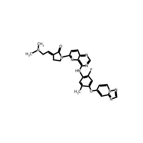 Cc1cc(Nc2ncnc3ccc(N4CC/C(=C\CN(C)C)C4=O)nc23)c(F)cc1Oc1ccn2ncnc2c1